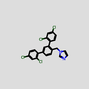 Clc1ccc(-c2ccc(Cn3ccnc3)c(-c3ccc(Cl)cc3Cl)c2)c(Cl)c1